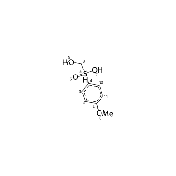 COc1ccc([SH](=O)(O)CO)cc1